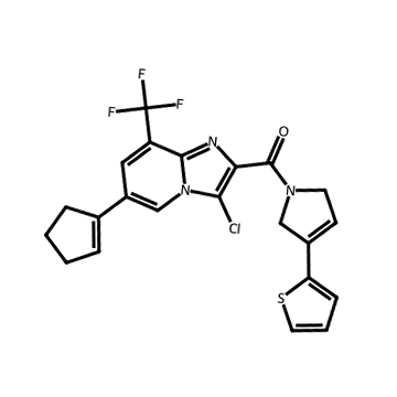 O=C(c1nc2c(C(F)(F)F)cc(C3=CCCC3)cn2c1Cl)N1CC=C(c2cccs2)C1